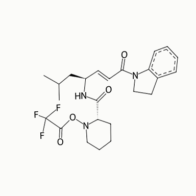 CC(C)C[C@@H](/C=C/C(=O)N1CCc2ccccc21)NC(=O)[C@@H]1CCCCN1OC(=O)C(F)(F)F